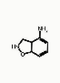 NC1=CC=CC2ONCC12